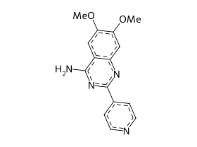 COc1cc2nc(-c3ccncc3)nc(N)c2cc1OC